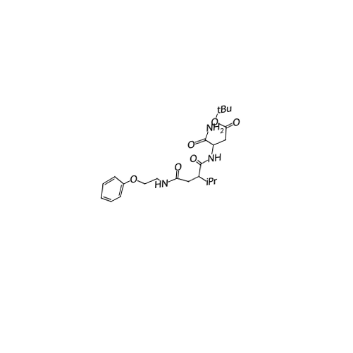 CC(C)C(CC(=O)NCCOc1ccccc1)C(=O)NC(CC(=O)OC(C)(C)C)C(N)=O